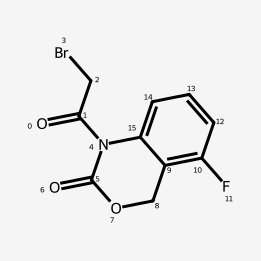 O=C(CBr)N1C(=O)OCc2c(F)cccc21